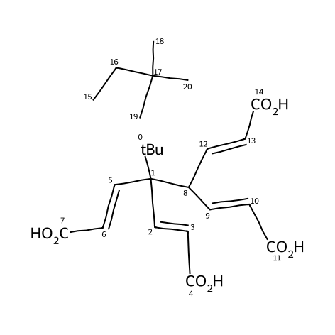 CC(C)(C)C(C=CC(=O)O)(C=CC(=O)O)C(C=CC(=O)O)C=CC(=O)O.CCC(C)(C)C